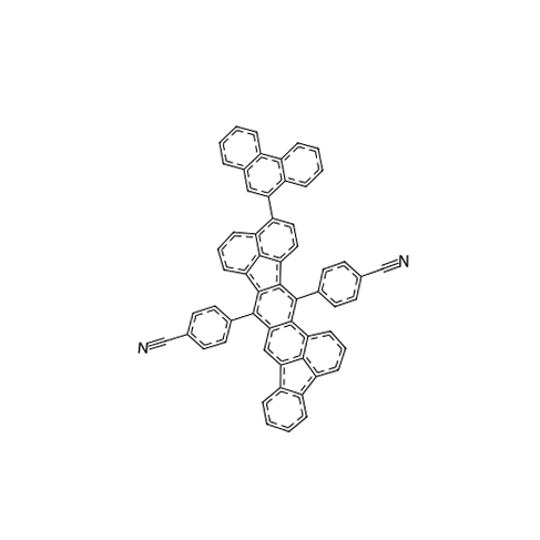 N#Cc1ccc(-c2c3cc4c5ccccc5c5cccc(c3c(-c3ccc(C#N)cc3)c3c6ccc(-c7cc8ccccc8c8ccccc78)c7cccc(c23)c76)c54)cc1